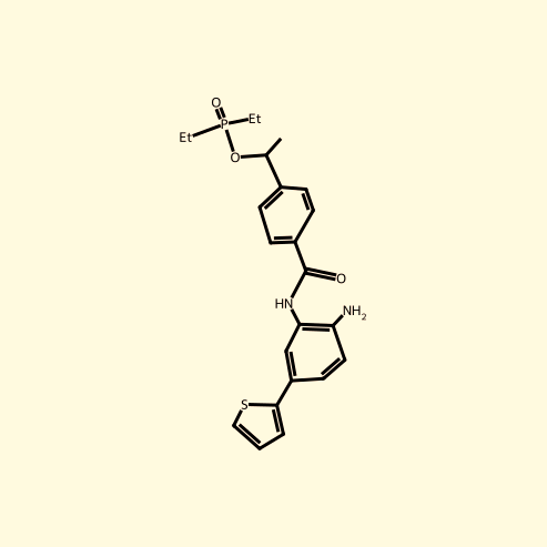 CCP(=O)(CC)OC(C)c1ccc(C(=O)Nc2cc(-c3cccs3)ccc2N)cc1